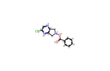 O=C(ON1Cc2ncc(Cl)nc2C1)c1ccccc1